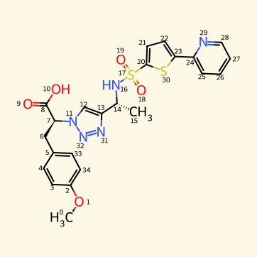 COc1ccc(C[C@@H](C(=O)O)n2cc([C@@H](C)NS(=O)(=O)c3ccc(-c4ccccn4)s3)nn2)cc1